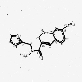 CN(Cc1ncco1)C(=O)C1=Cc2ccc(C(C)(C)C)cc2OC1